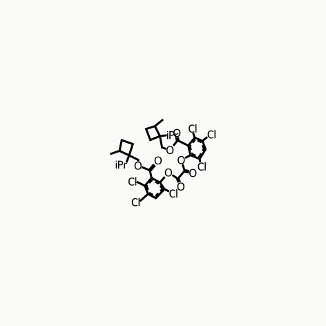 CC(C)C1(COC(=O)c2c(Cl)c(Cl)cc(Cl)c2OC(=O)C(=O)Oc2c(Cl)cc(Cl)c(Cl)c2C(=O)OCC2(C(C)C)CCC2C)CCC1C